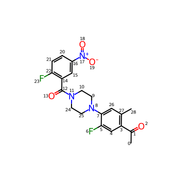 CC(=O)c1cc(F)c(N2CCN(C(=O)c3cc([N+](=O)[O-])ccc3F)CC2)cc1C